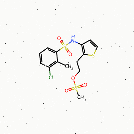 Cc1c(Cl)cccc1S(=O)(=O)Nc1ccsc1CCOS(C)(=O)=O